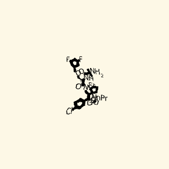 CCCN1C2(CCCC2)C(CN(CC)C(=O)[C@@H](COCc2cc(F)cc(F)c2)NC(=O)C(C)(C)N)=C(c2ccc(Cl)cc2)S1(=O)=O